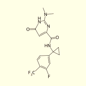 CN(C)c1nc(C(=O)NC2(c3ccc(C(F)(F)F)c(F)c3)CC2)cc(=O)[nH]1